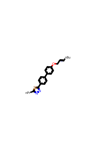 CCCC/C=C/COc1ccc(-c2ccc(-c3nnc(CCC)s3)cc2)cc1